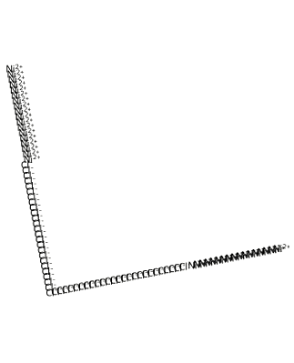 [Cl-].[Cl-].[Cl-].[Cl-].[Cl-].[Cl-].[Cl-].[Cl-].[Cl-].[Cl-].[Cl-].[Cl-].[Cl-].[Cl-].[Cl-].[Cl-].[Cl-].[Cl-].[Cl-].[Cl-].[Cl-].[Cl-].[Cl-].[Cl-].[Cl-].[Cl-].[Cl-].[Cl-].[Cl-].[Cl-].[Cl-].[Cl-].[Cl-].[Cl-].[Cl-].[Cl-].[Cl-].[Cl-].[Cl-].[Cl-].[Cl-].[Cl-].[Cl-].[Cl-].[Cl-].[Cl-].[Cl-].[Cl-].[Cl-].[Cl-].[Ni+2].[Ni+2].[Ni+2].[Ni+2].[Ni+2].[Ni+2].[Ni+2].[Ni+2].[Ni+2].[Ni+2].[Ni+2].[Ni+2].[Ni+2].[Ni+2].[Ni+2].[Ni+2].[Ni+2].[Ni+2].[Ni+2].[Ni+2].[Ni+2].[Ni+2].[Ni+2].[Ni+2].[Ni+2].[Ni+2].[Ni+2].[Ni+2].[Ni+2].[Ni+2].[Ni+2].[Ni+2].[Ni+2].[Ni+2].[Ni+2]